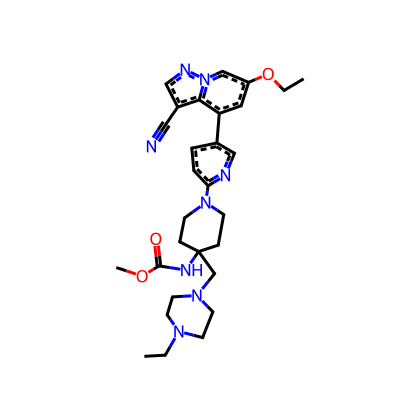 CCOc1cc(-c2ccc(N3CCC(CN4CCN(CC)CC4)(NC(=O)OC)CC3)nc2)c2c(C#N)cnn2c1